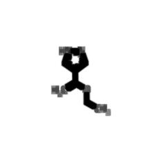 C=C(OCC)c1cn[nH]c1